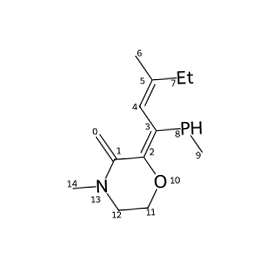 C=C1/C(=C(\C=C(\C)CC)PC)OCCN1C